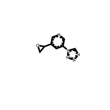 c1ncc(-n2cnnn2)cc1C1CO1